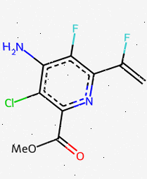 C=C(F)c1nc(C(=O)OC)c(Cl)c(N)c1F